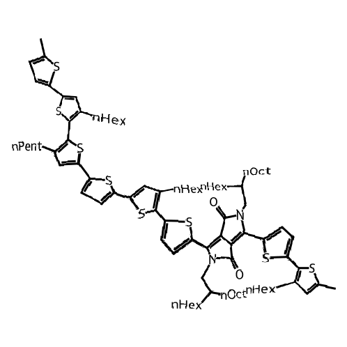 CCCCCCCCC(CCCCCC)CN1C(=O)C2=C(c3ccc(-c4sc(-c5ccc(-c6cc(CCCCC)c(-c7sc(-c8ccc(C)s8)cc7CCCCCC)s6)s5)cc4CCCCCC)s3)N(CC(CCCCCC)CCCCCCCC)C(=O)C2=C1c1ccc(-c2sc(C)cc2CCCCCC)s1